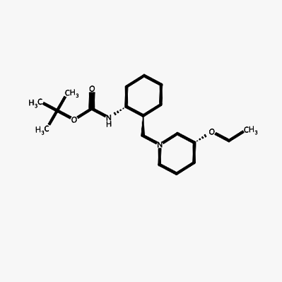 CCO[C@@H]1CCCN(C[C@@H]2CCCC[C@H]2NC(=O)OC(C)(C)C)C1